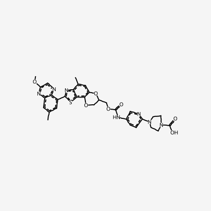 COc1cnc2c(-c3nc4c(C)cc5c(c4s3)OCC(COC(=O)Nc3ccc(N4CCN(C(=O)O)CC4)nc3)O5)cc(C)cc2n1